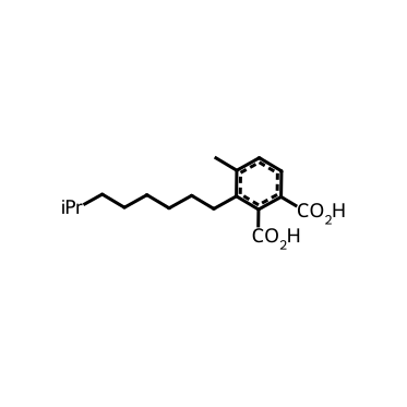 Cc1ccc(C(=O)O)c(C(=O)O)c1CCCCCCC(C)C